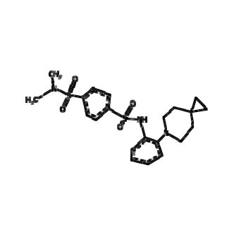 CN(C)S(=O)(=O)c1ccc(S(=O)(=O)Nc2ccccc2N2CCC3(CC2)CC3)cc1